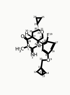 CN1C(=N)N[C@@]2(c3cc(OCC45CC(C4)C5)ccc3F)CO[C@@H](C3CC3)C[C@H]2C1=O